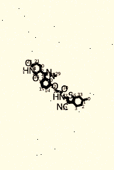 CC1CCc2c(sc(NC(=O)COc3cccc4c(C5CCC(=O)NC5=O)nn(C)c34)c2C#N)C1